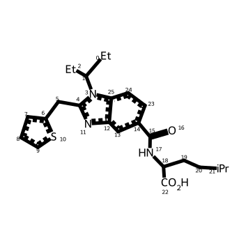 CCC(CC)n1c(Cc2cccs2)nc2cc(C(=O)NC(CCC(C)C)C(=O)O)ccc21